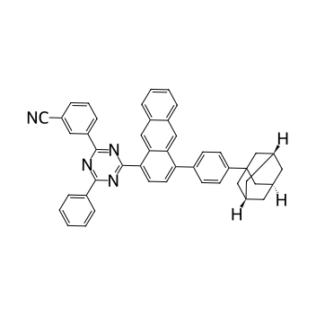 N#Cc1cccc(-c2nc(-c3ccccc3)nc(-c3ccc(-c4ccc(C56C[C@H]7C[C@@H](C5)C[C@@H](C6)C7)cc4)c4cc5ccccc5cc34)n2)c1